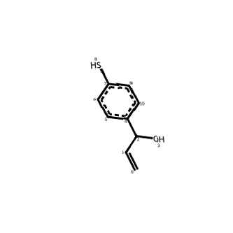 C=CC(O)c1ccc(S)cc1